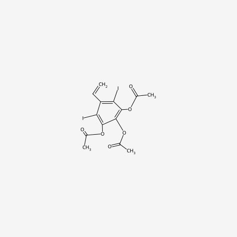 C=Cc1c(I)c(OC(C)=O)c(OC(C)=O)c(OC(C)=O)c1I